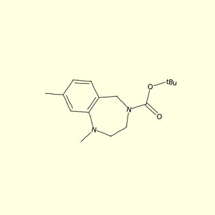 Cc1ccc2c(c1)N(C)CCN(C(=O)OC(C)(C)C)C2